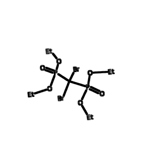 CCOP(=O)(OCC)C(Br)(Br)P(=O)(OCC)OCC